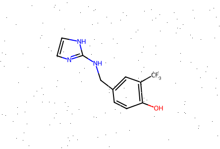 Oc1ccc(CNc2ncc[nH]2)cc1C(F)(F)F